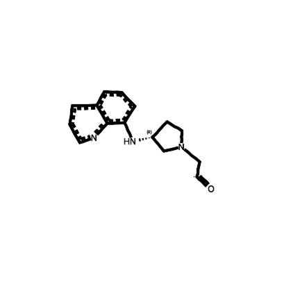 O=[C]CN1CC[C@@H](Nc2cccc3cccnc23)C1